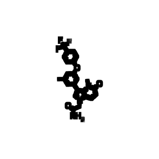 Cc1cc(Oc2ccc(C(F)(F)F)cc2)cc(-c2cn(CC(N)=O)c3ccc(=O)n(C)c23)c1